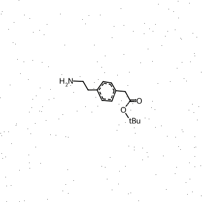 CC(C)(C)OC(=O)Cc1ccc(CCN)cc1